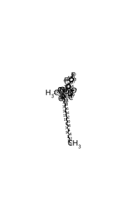 CCC=CCC=CCC=CCC=CCC=CCC=CCCC(=O)NC(CC(C)C)C(=O)Oc1ccc(-c2ccc(F)cc2F)cc1C(=O)OCC